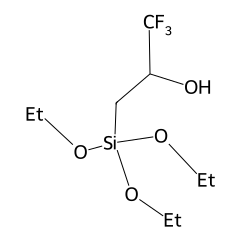 CCO[Si](CC(O)C(F)(F)F)(OCC)OCC